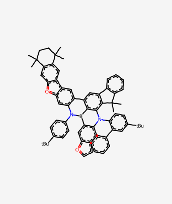 CC(C)(C)c1ccc(N2B3c4cc5occc5cc4N(c4ccc(C(C)(C)C)cc4-c4ccccc4)c4c3c(cc3c4C(C)(C)c4ccccc4-3)-c3cc4c(cc32)oc2cc3c(cc24)C(C)(C)CCC3(C)C)cc1